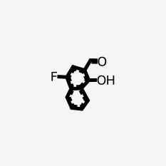 O=Cc1cc(F)c2ccccc2c1O